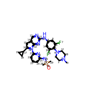 CN1CCN(c2c(F)cc(Nc3ncc4cc(C5CC5)n(-c5cccc(N=S(C)(C)=O)n5)c4n3)cc2F)CC1